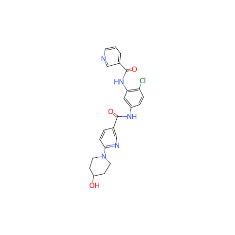 O=C(Nc1ccc(Cl)c(NC(=O)c2cccnc2)c1)c1ccc(N2CCC(O)CC2)nc1